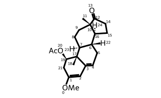 COC1=CC2=CC[C@@H]3[C@H](CC[C@]4(C)C(=O)CC[C@@H]34)[C@@]2(C)[C@H](OC(C)=O)C1